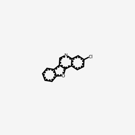 Clc1ccc2c(c1)ncc1c3ccccc3oc21